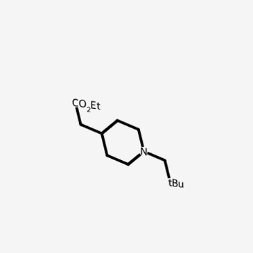 CCOC(=O)CC1CCN(CC(C)(C)C)CC1